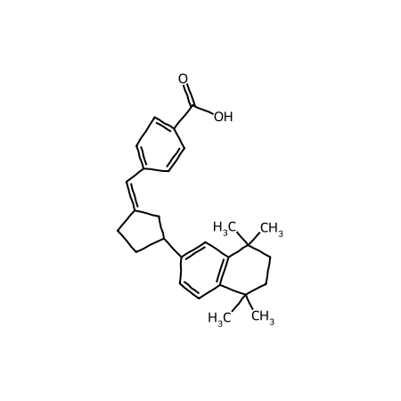 CC1(C)CCC(C)(C)c2cc(C3CCC(=Cc4ccc(C(=O)O)cc4)C3)ccc21